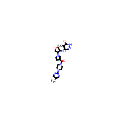 O=C(c1ccn(C2COCC2Nc2cn[nH]c(=O)c2C(F)(F)F)c1)N1CCN(c2ncc(C(F)(F)F)cn2)CC1